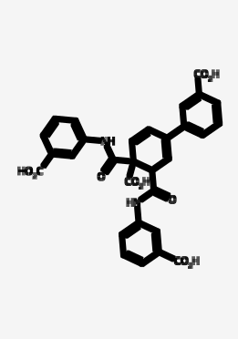 O=C(O)c1cccc(NC(=O)C2C=C(c3cccc(C(=O)O)c3)C=CC2(C(=O)O)C(=O)Nc2cccc(C(=O)O)c2)c1